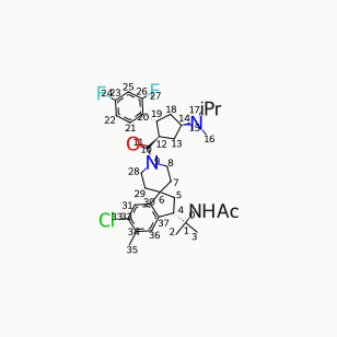 CC(=O)NC(C)(C)[C@H]1CC2(CCN(C(=O)[C@@H]3C[C@H](N(C)C(C)C)C[C@H]3c3ccc(F)cc3F)CC2)c2cc(Cl)c(C)cc21